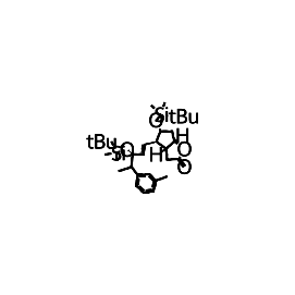 Cc1cccc(C(C)[C@@H](/C=C/[C@@H]2[C@H]3CC(=O)O[C@H]3C[C@H]2O[Si](C)(C)C(C)(C)C)O[Si](C)(C)C(C)(C)C)c1